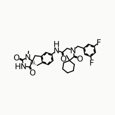 CN1C(=O)NC(=O)[C@@]12Cc1ccc(NC(=O)CN(Cc3cc(F)cc(F)c3)C(=O)C3(C)CCCCC3)cc1C2